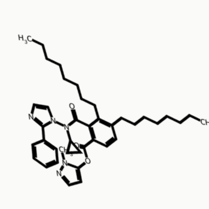 CCCCCCCCc1ccc(C(=O)Oc2ccnn2C)c(C(=O)N(C2CC2)n2ccnc2-c2ccccc2)c1CCCCCCCC